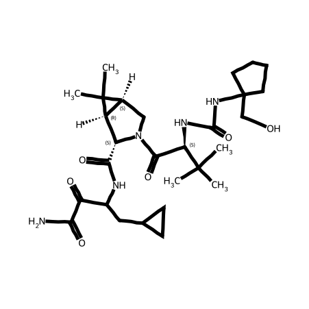 CC(C)(C)[C@H](NC(=O)NC1(CO)CCCC1)C(=O)N1C[C@H]2[C@@H]([C@H]1C(=O)NC(CC1CC1)C(=O)C(N)=O)C2(C)C